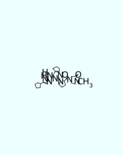 CN1CCN(C(=O)C2CCCN2c2nc3c(c(Nc4ncc(C5CCCC5)[nH]4)n2)CCC3)CC1=O